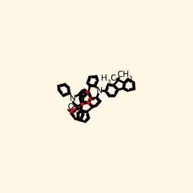 CC1(C)c2ccccc2-c2ccc(N(c3ccc4c(c3)C3(c5ccccc5-4)c4ccccc4N(c4ccccc4)c4ccccc43)c3ccccc3-c3ccc(-c4ccccc4)cc3)cc21